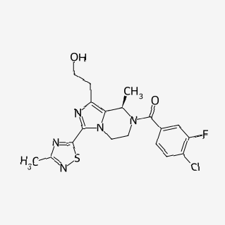 Cc1nsc(-c2nc(CCO)c3n2CCN(C(=O)c2ccc(Cl)c(F)c2)[C@@H]3C)n1